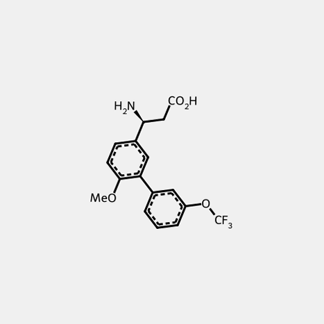 COc1ccc([C@@H](N)CC(=O)O)cc1-c1cccc(OC(F)(F)F)c1